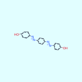 Oc1ccc(/N=N/c2ccc(/N=N/c3ccc(O)cc3)cc2)cc1